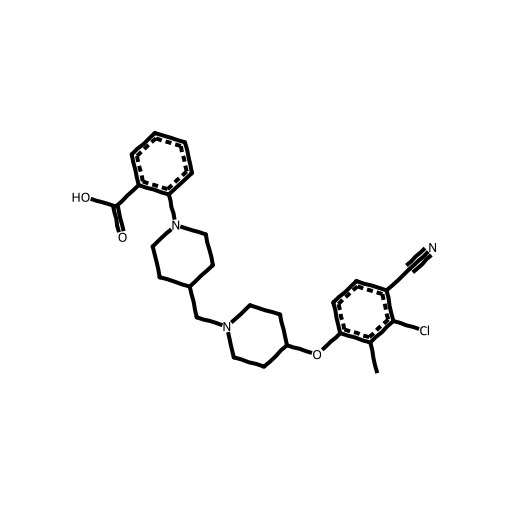 Cc1c(OC2CCN(CC3CCN(c4ccccc4C(=O)O)CC3)CC2)ccc(C#N)c1Cl